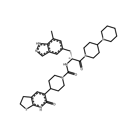 Cc1cc(C[C@@H](NC(=O)N2CCC(c3cc4c([nH]c3=O)SCC4)CC2)C(=O)N2CCC(N3CCCCC3)CC2)cc2cn[nH]c12